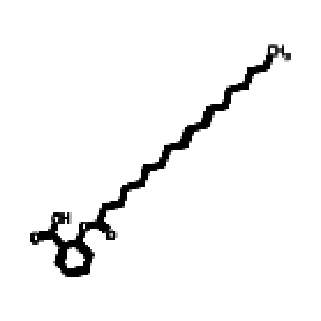 CCCCCC/C=C/C=C/CCCCCCCC(=O)Oc1ccccc1C(=O)O